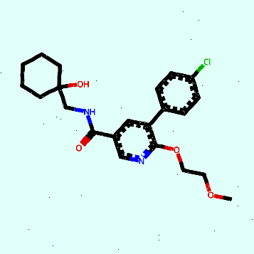 COCCOc1ncc(C(=O)NCC2(O)CCCCC2)cc1-c1ccc(Cl)cc1